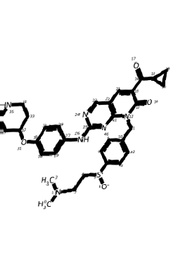 CN(C)CC[S+]([O-])c1ccc(Cn2c(=O)c(C(=O)C3CC3)cc3cnc(Nc4ccc(OC5CCNCC5)cc4)nc32)cc1